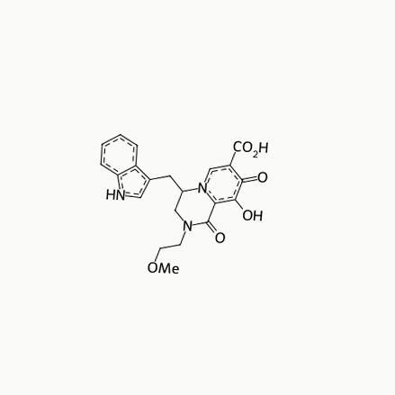 COCCN1CC(Cc2c[nH]c3ccccc23)n2cc(C(=O)O)c(=O)c(O)c2C1=O